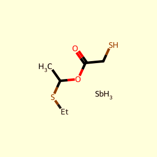 CCSC(C)OC(=O)CS.[SbH3]